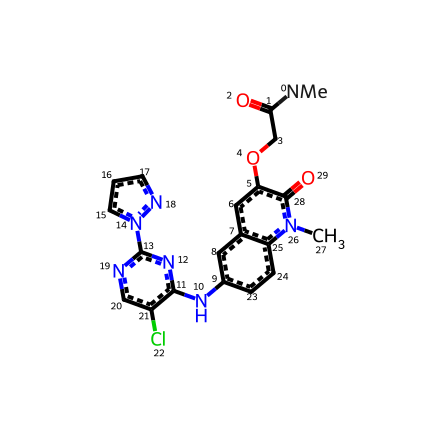 CNC(=O)COc1cc2cc(Nc3nc(-n4cccn4)ncc3Cl)ccc2n(C)c1=O